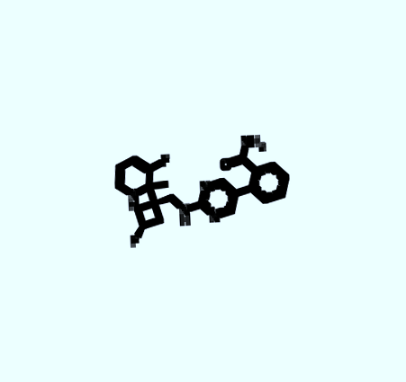 CC1([C@]2(CNc3ncc(-c4ccccc4C(N)=O)cn3)C[C@@H](F)C2)NC=CC=C1F